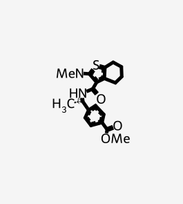 CNc1sc2c(c1C(=O)N[C@@H](C)c1ccc(C(=O)OC)cc1)CCCC2